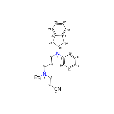 CCN(CCC#N)CCCN(c1ccccc1)C1Cc2ccccc2C1